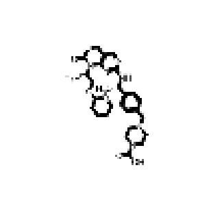 C[C@H](Nc1ncc2c(n1)N([C@H](C)COC1CCCCO1)C(=O)OC2)c1ccc(CN2CCN(C(=O)O)CC2)cc1